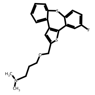 CN(C)CCCOCc1cc2c(s1)-c1cc(F)ccc1Sc1ccccc1-2